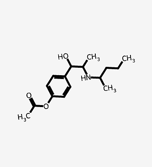 CCCC(C)NC(C)C(O)c1ccc(OC(C)=O)cc1